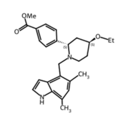 CCO[C@H]1CCN(Cc2c(C)cc(C)c3[nH]ccc23)[C@H](c2ccc(C(=O)OC)cc2)C1